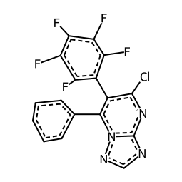 Fc1c(F)c(F)c(-c2c(Cl)nc3ncnn3c2-c2ccccc2)c(F)c1F